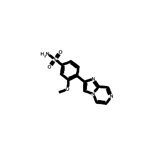 COc1cc(S(N)(=O)=O)ccc1-c1cn2ccncc2n1